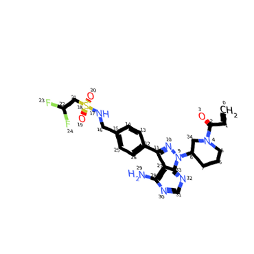 C=CC(=O)N1CCCC(n2nc(-c3ccc(CNS(=O)(=O)CC(F)F)cc3)c3c(N)ncnc32)C1